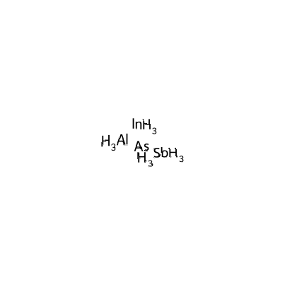 [AlH3].[AsH3].[InH3].[SbH3]